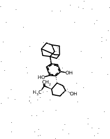 C=C(C)[C@@H]1CC[C@@H](O)C[C@H]1c1c(O)cc(C23CC4CC(CC(C4)C2)C3)cc1O